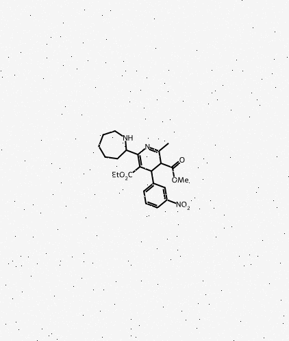 CCOC(=O)C1=C(C2CCCCCN2)N=C(C)C(C(=O)OC)C1c1cccc([N+](=O)[O-])c1